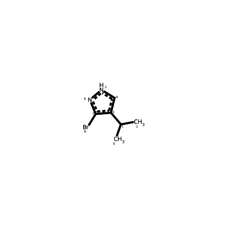 CC(C)c1c[nH]nc1Br